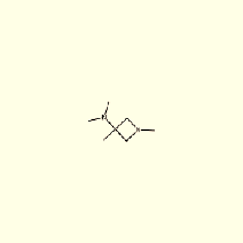 CN1CC(C)(N(C)C)C1